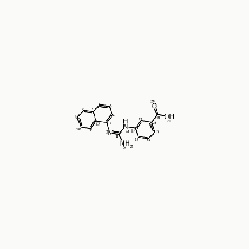 NC(=Nc1cccc2ccccc12)Nc1cccc(C(=O)O)c1